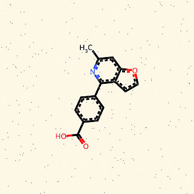 Cc1cc2occc2c(-c2ccc(C(=O)O)cc2)n1